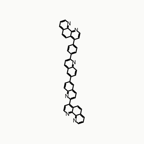 c1cnc2c(c1)ccc1c(-c3ccc(-c4ccc5cc(-c6ccc7nc(-c8ccnc9c8ccc8cccnc89)ccc7c6)ccc5n4)cc3)ccnc12